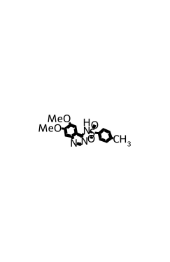 COc1cc2ncnc(NS(=O)(=O)c3ccc(C)cc3)c2cc1OC